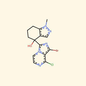 Cn1ncc2c1CCCC2(O)c1nc(Br)c2c(Cl)nccn12